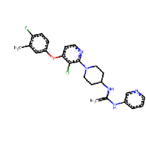 C=C(Nc1cccnc1)NC1CCN(c2nccc(Oc3ccc(F)c(C)c3)c2Cl)CC1